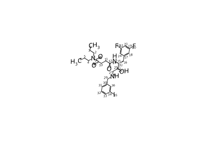 CCCN(CCC)S(=O)(=O)CCC(=O)N[C@@H](Cc1cc(F)cc(F)c1)[C@@H](O)CNCc1cccc(I)c1